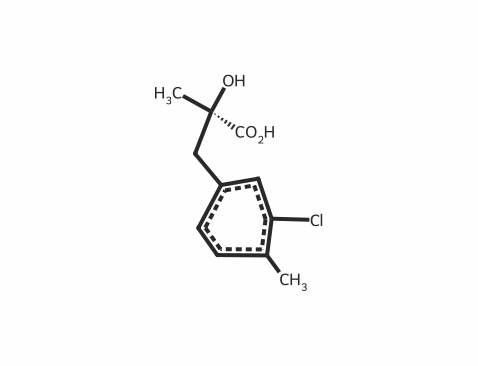 Cc1ccc(C[C@@](C)(O)C(=O)O)cc1Cl